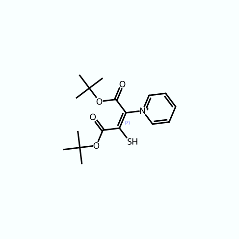 CC(C)(C)OC(=O)/C(S)=C(\C(=O)OC(C)(C)C)[n+]1ccccc1